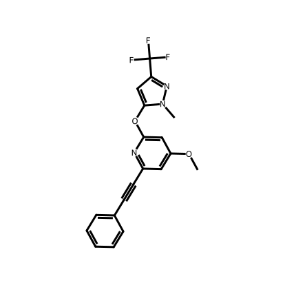 COc1cc(C#Cc2ccccc2)nc(Oc2cc(C(F)(F)F)nn2C)c1